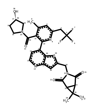 Cc1cc(CC(F)(F)F)nc(-c2ccnc3cc(CN4C(=O)C5C(C4=O)C5(C)C)sc23)c1C(=O)N1CC[C@H](O)C1